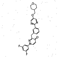 O=c1ccn(-c2cc(F)cc(F)c2)nc1Cc1cccc(-c2ncc(OCC3CCOCC3)cn2)c1